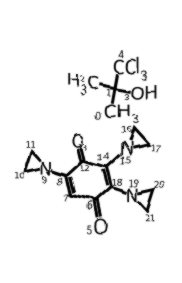 CC(C)(O)C(Cl)(Cl)Cl.O=C1C=C(N2CC2)C(=O)C(N2CC2)=C1N1CC1